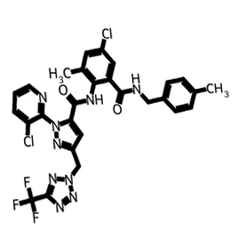 Cc1ccc(CNC(=O)c2cc(Cl)cc(C)c2NC(=O)c2cc(Cn3nnc(C(F)(F)F)n3)nn2-c2ncccc2Cl)cc1